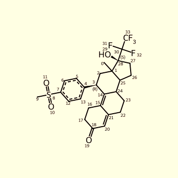 CC12C[C@H](c3ccc(S(C)(=O)=O)cc3)C3=C4CCC(=O)C=C4CCC3C1CC[C@@]2(O)C(F)(F)C(F)(F)F